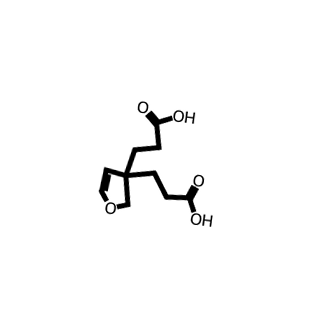 O=C(O)CCC1(CCC(=O)O)C=COC1